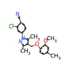 COc1cc(C)ccc1OCc1c(C)nn(-c2ccc(C#N)c(Cl)c2)c1C